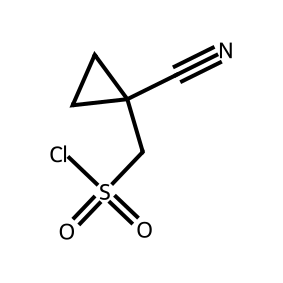 N#CC1(CS(=O)(=O)Cl)CC1